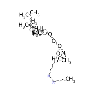 CCCCC/C=C\C/C=C\CCCCCCCCOCC(CN1CCC(C)(C)C1)OCCOCCO[C@H]1CC[C@@]2(C)C(=CC[C@@H]3[C@@H]2CC[C@]2(C)C([C@H](C)CCCC(C)C)CC[C@@H]32)C1